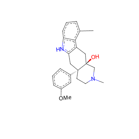 COc1cccc([C@@]23CCN(C)C[C@@]2(O)Cc2c([nH]c4cccc(C)c24)C3)c1